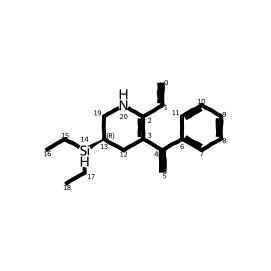 C=CC1=C(C(=C)c2ccccc2)C[C@@H]([SiH](CC)CC)CN1